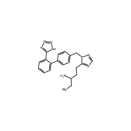 CC(C)(C)CC(N)CCc1ncnn1Cc1ccc(-c2ccccc2-c2nnn[nH]2)cc1